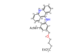 CCOC(=O)CCCOCc1cc(NC(C)=O)cc(Nc2c3ccccc3nc3ccccc23)c1